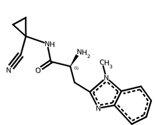 Cn1c(C[C@H](N)C(=O)NC2(C#N)CC2)nc2ccccc21